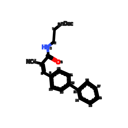 CCCCCCCCCCCCNC(=O)C(C#N)=Cc1ccc(-c2ccccc2)cc1